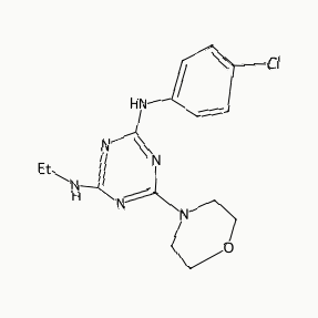 CCNc1nc(Nc2ccc(Cl)cc2)nc(N2CCOCC2)n1